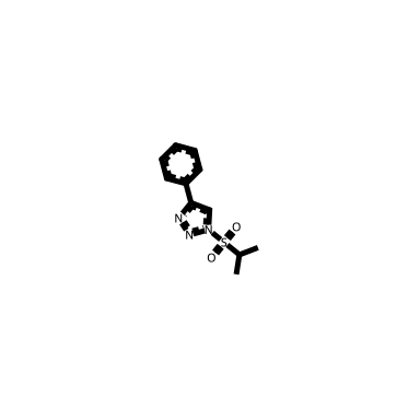 CC(C)S(=O)(=O)n1cc(-c2ccccc2)nn1